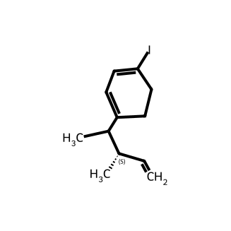 C=C[C@H](C)C(C)C1=CC=C(I)CC1